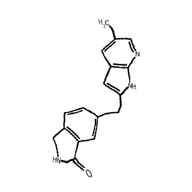 Cc1cnc2[nH]c(Cc3ccc4c(c3)C(=O)NC4)cc2c1